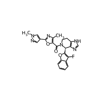 Cc1nc(-c2cnn(C)c2)oc1C(=O)N1CCc2[nH]cnc2[C@H]1c1oc2ccccc2c1F